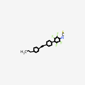 CCCc1ccc(C#Cc2ccc(-c3c(F)c(F)c(N=C=S)c(F)c3F)cc2)cc1